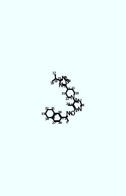 CC(=NOc1ncnc(N2CCC(c3nc(C(C)C)no3)CC2)c1C)c1ccc2c(c1)CCCC2